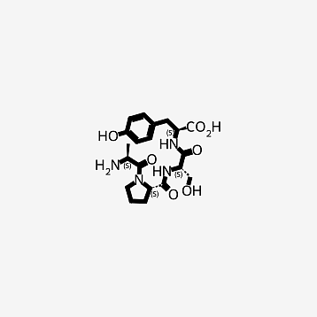 C[C@H](N)C(=O)N1CCC[C@H]1C(=O)N[C@@H](CO)C(=O)N[C@@H](Cc1ccc(O)cc1)C(=O)O